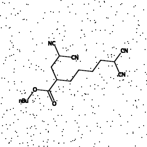 CCCCOC(=O)C(CCCCC(C#N)C#N)CC(C#N)C#N